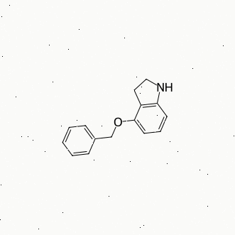 c1ccc(COc2cccc3c2CCN3)cc1